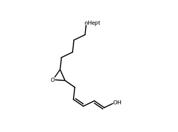 CCCCCCCCCCCC1OC1C/C=C\C=C\O